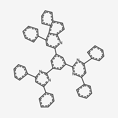 c1ccc(-c2cc(-c3ccccc3)nc(-c3cc(-c4cc(-c5ccccc5)c5c(ccc6ccccc65)n4)cc(-c4nc(-c5ccccc5)cc(-c5ccccc5)n4)c3)n2)cc1